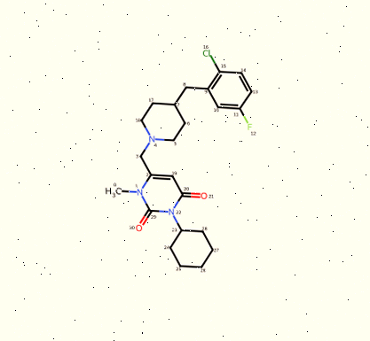 Cn1c(CN2CCC(Cc3cc(F)ccc3Cl)CC2)cc(=O)n(C2CCCCC2)c1=O